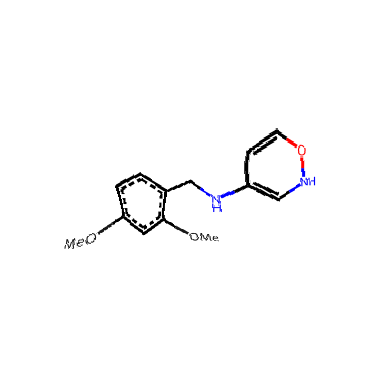 COc1ccc(CNC2=CNOC=C2)c(OC)c1